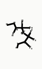 CCC(F)[C](F)(F)[Sn][C](F)(F)C(F)CC